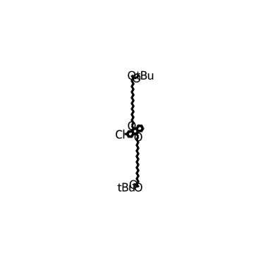 CC(C)(C)OC(=O)CCCCCCCCCCCCCCCCOc1c2ccccc2c(OCCCCCCCCCCCCCCCCC(=O)OC(C)(C)C)c2cc(Cl)ccc12